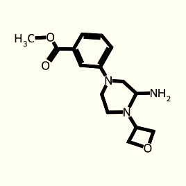 COC(=O)c1cccc(N2CCN(C3COC3)C(N)C2)c1